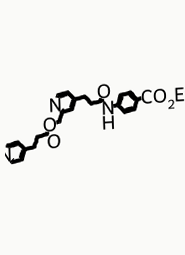 CCOC(=O)c1ccc(NC(=O)CCc2ccnc(COC(=O)CCc3ccncc3)c2)cc1